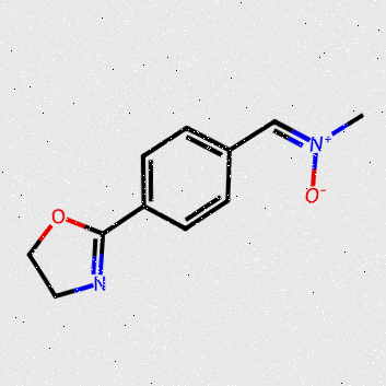 C[N+]([O-])=Cc1ccc(C2=NCCO2)cc1